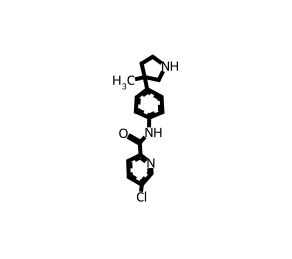 CC1(c2ccc(NC(=O)c3ccc(Cl)cn3)cc2)CCNC1